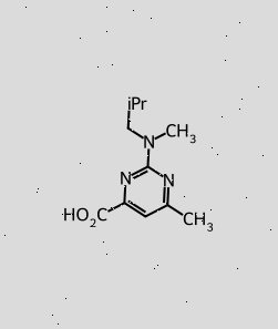 Cc1cc(C(=O)O)nc(N(C)CC(C)C)n1